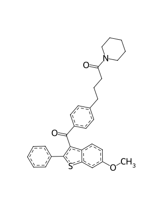 COc1ccc2c(C(=O)c3ccc(CCCC(=O)N4CCCCC4)cc3)c(-c3ccccc3)sc2c1